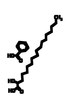 CCCCCCCCCCCCCCCCC(O)C(=O)O.O=C(O)c1ccccc1